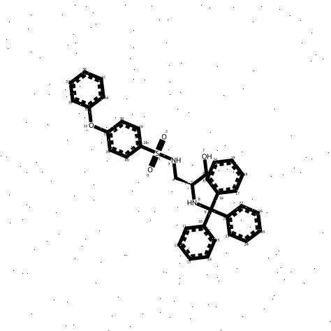 O=S(=O)(NC[C@@H](CO)NC(c1ccccc1)(c1ccccc1)c1ccccc1)c1ccc(Oc2ccccc2)cc1